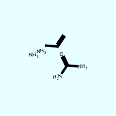 C=CC.N.N.NC(N)=O